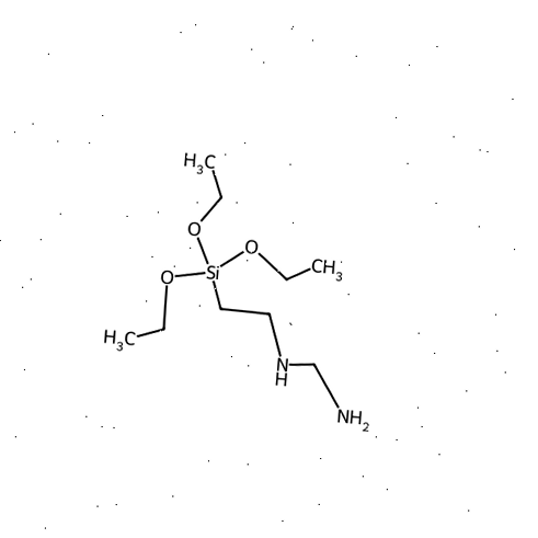 CCO[Si](CCNCN)(OCC)OCC